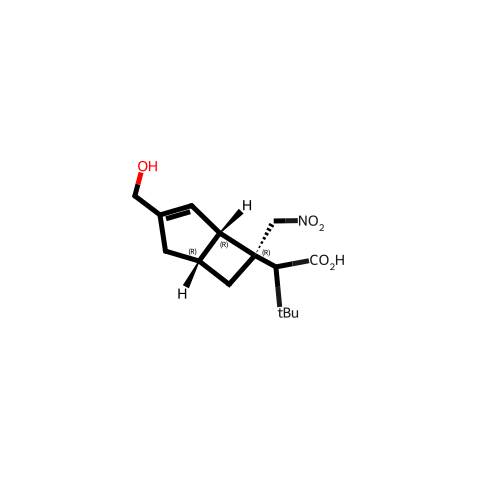 CC(C)(C)C(C(=O)O)[C@@]1(C[N+](=O)[O-])C[C@@H]2CC(CO)=C[C@@H]21